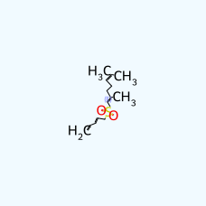 C=CC=CCS(=O)(=O)C/C=C(\C)CCC=C(C)C